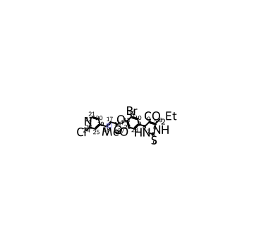 CCOC(=O)C1=C(C)NC(=S)NC1c1cc(Br)c(OC(=O)/C=C/c2ccnc(Cl)c2)c(OC)c1